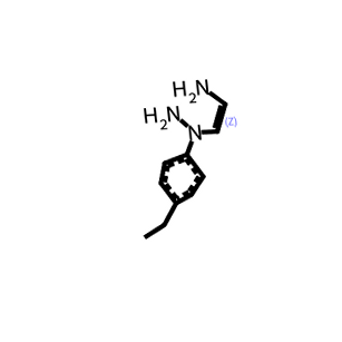 CCc1ccc(N(N)/C=C\N)cc1